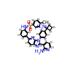 Cc1ccc(S(=O)(=O)Nc2cccc(-c3ccc4nc(-c5cccnc5N)n(-c5ccc(C6(N)CCC6)cc5)c4n3)c2)cc1